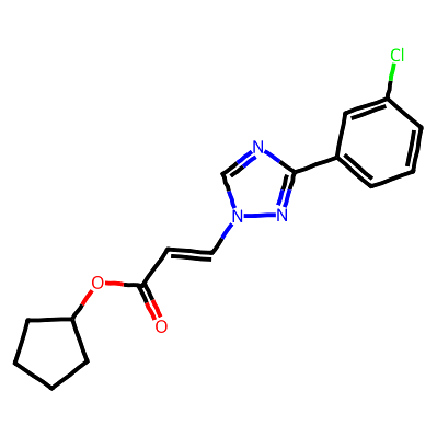 O=C(C=Cn1cnc(-c2cccc(Cl)c2)n1)OC1CCCC1